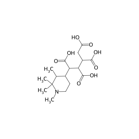 CC1C(C(C(=O)O)C(C(=O)O)C(CC(=O)O)C(=O)O)CCN(C)C1(C)C